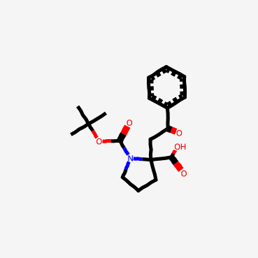 CC(C)(C)OC(=O)N1CCCC1(CC(=O)c1ccccc1)C(=O)O